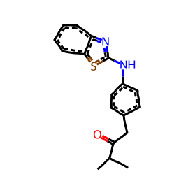 CC(C)C(=O)Cc1ccc(Nc2nc3ccccc3s2)cc1